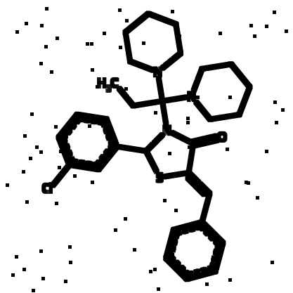 CCC(N1CCCCC1)(N1CCCCC1)N1C(=O)C(=Cc2ccccc2)SC1c1cccc(Cl)c1